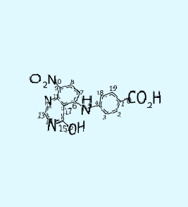 O=C(O)c1ccc(Nc2ccc([N+](=O)[O-])c3ncnc(O)c23)cc1